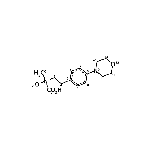 C[N+]([O-])(CCc1ccc(N2CCOCC2)cc1)C(=O)O